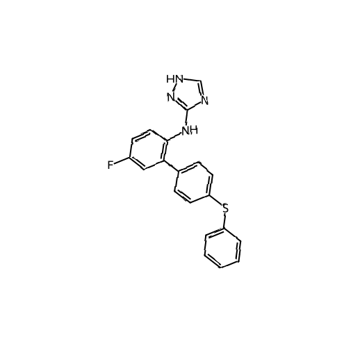 Fc1ccc(Nc2nc[nH]n2)c(-c2ccc(Sc3ccccc3)cc2)c1